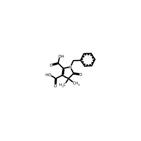 CC1(C)C(=O)N(Cc2ccccc2)C(C(=O)O)=C1C(=O)O